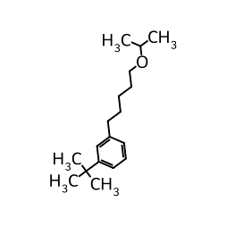 CC(C)OCCCCCc1cccc(C(C)(C)C)c1